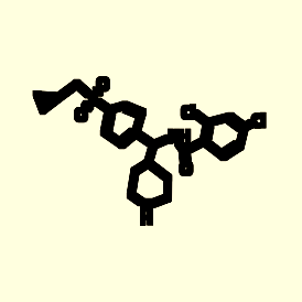 O=C(NC(c1ccc(S(=O)(=O)CC2CC2)cc1)C1CCNCC1)c1ccc(Cl)cc1Cl